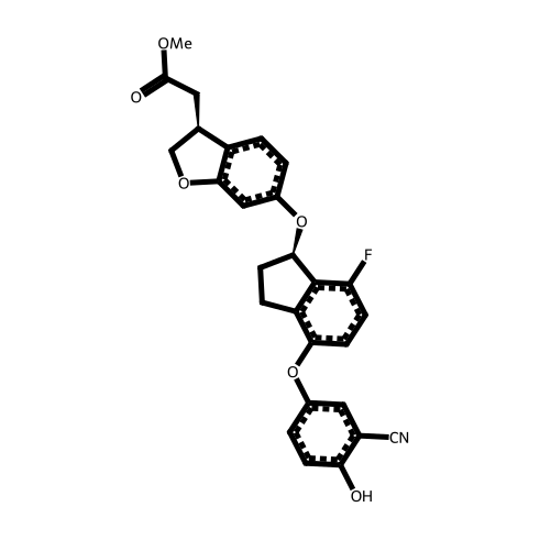 COC(=O)C[C@@H]1COc2cc(O[C@@H]3CCc4c(Oc5ccc(O)c(C#N)c5)ccc(F)c43)ccc21